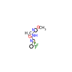 COc1ccc([C@@H](C)NC(=O)c2csc(-c3ccccc3C(F)(F)F)n2)nc1